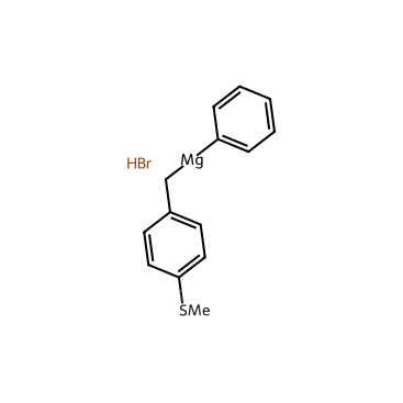 Br.CSc1ccc([CH2][Mg][c]2ccccc2)cc1